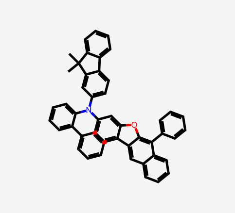 CC1(C)c2ccccc2-c2ccc(N(c3ccc4c(c3)oc3c(-c5ccccc5)c5ccccc5cc34)c3ccccc3-c3ccccc3)cc21